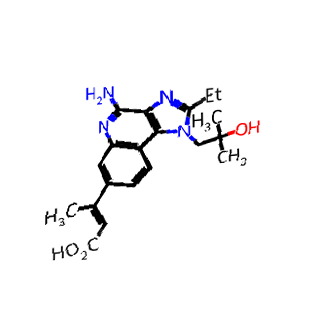 CCc1nc2c(N)nc3cc(/C(C)=C/C(=O)O)ccc3c2n1CC(C)(C)O